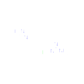 Cc1nc(N)nc(Cl)c1C#Cc1ccc(N)nc1